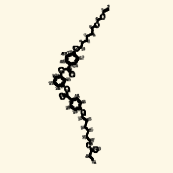 C=COCOCCCCCCOc1ccc(C(=O)Oc2cccc(OC(=O)c3ccc(OCCCCCCOC(=O)C=C)cc3)c2)cc1